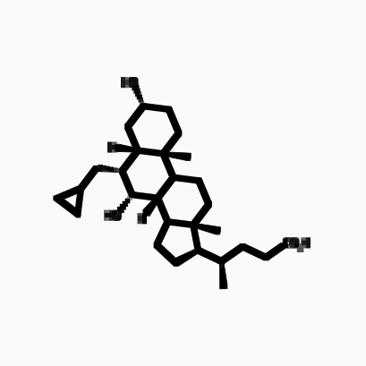 C[C@H](CCC(=O)O)[C@H]1CCC2[C@H]3C(CC[C@@]21C)[C@@]1(C)CC[C@@H](O)C[C@H]1[C@@H](CC1CC1)[C@H]3O